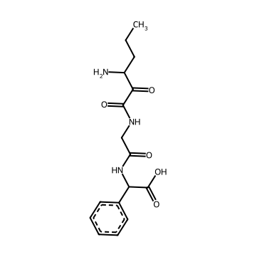 CCCC(N)C(=O)C(=O)NCC(=O)NC(C(=O)O)c1ccccc1